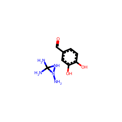 NN1NC1(N)N.O=Cc1ccc(O)c(O)c1